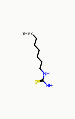 CCCCCCCCCCCCNC([NH])=S